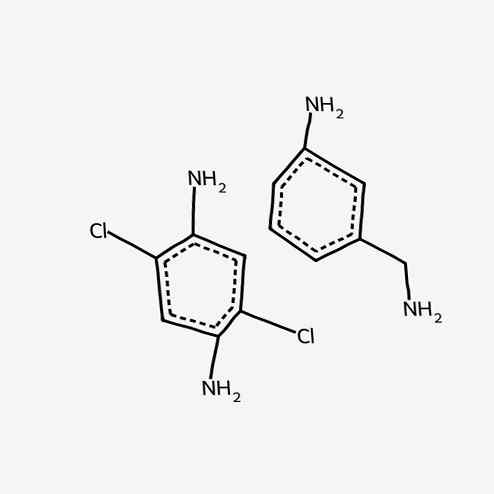 NCc1cccc(N)c1.Nc1cc(Cl)c(N)cc1Cl